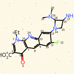 CCn1cc(C(=O)O)c(=O)c2cc3cc(F)c(N4CC(N)C4N(C)C)cc3nc21